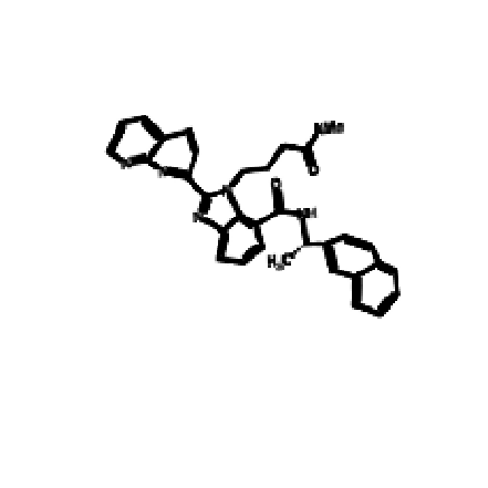 CNC(=O)CCCn1c(-c2ccc3cccnc3n2)nc2cccc(C(=O)N[C@@H](C)c3ccc4ccccc4c3)c21